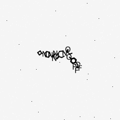 CC(Oc1ccc(OC(F)(F)F)cc1)C(=O)N1CCc2cnc(N3CCN(C4CCC4)CC3)nc2CC1